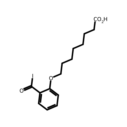 O=C(O)CCCCCCCOc1ccccc1C(=O)I